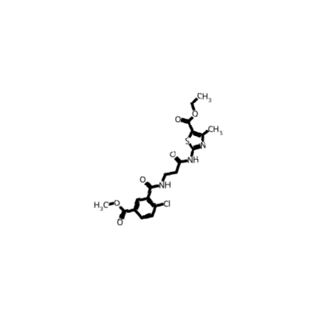 CCOC(=O)c1sc(NC(=O)CCNC(=O)c2cc(C(=O)OC)ccc2Cl)nc1C